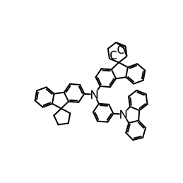 c1cc(N(c2ccc3c(c2)-c2ccccc2C32C3CCC4C(C3)CC42)c2ccc3c(c2)C2(CCCC2)c2ccccc2-3)cc(-n2c3ccccc3c3ccccc32)c1